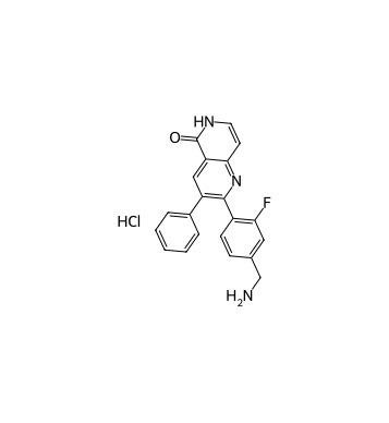 Cl.NCc1ccc(-c2nc3cc[nH]c(=O)c3cc2-c2ccccc2)c(F)c1